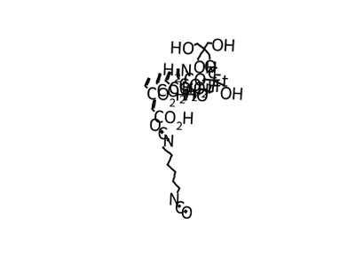 C=CC(=O)O.C=CC(=O)O.C=CC(=O)O.C=CC(=O)O.C=CC(=O)O.CCOC(N)=O.O=C=NCCCCCCN=C=O.OCC(CO)(CO)COCC(CO)(CO)CO